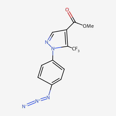 COC(=O)c1cnn(-c2ccc(N=[N+]=[N-])cc2)c1C(F)(F)F